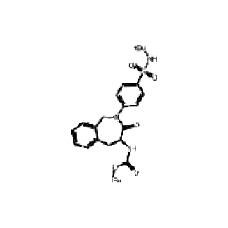 CC(C)(C)NS(=O)(=O)c1ccc(N2Cc3ccccc3CC(NC(=O)OC(C)(C)C)C2=O)cc1